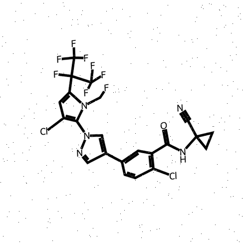 N#CC1(NC(=O)c2cc(-c3cnn(-c4c(Cl)cc(C(F)(C(F)(F)F)C(F)(F)F)n4CF)c3)ccc2Cl)CC1